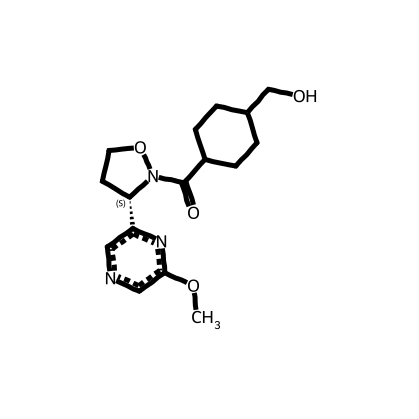 COc1cncc([C@@H]2CCON2C(=O)C2CCC(CO)CC2)n1